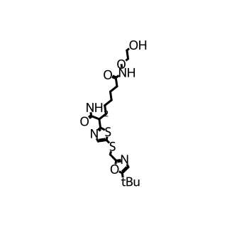 CC(C)(C)c1cnc(CSc2cnc(C(CCCCCC(=O)NOCCO)C(N)=O)s2)o1